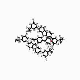 Cc1cc(-c2ccc3c4ccc(-c5cc(C)cc(C(F)(F)F)c5)cc4n(-c4cc(-c5ccncc5)c(-n5c6cc(-c7cc(C)cc(C(F)(F)F)c7)ccc6c6ccc(-c7cc(C)cc(C(F)(F)F)c7)cc65)cc4C#N)c3c2)cc(C(F)(F)F)c1